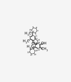 Cc1cc(C2(C)CCCCC2)cc(Cc2cc(C3(C)CCCCC3)cc(C)c2O)c1O